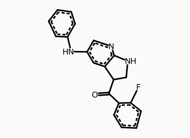 O=C(c1ccccc1F)C1CNc2ncc(Nc3ccccc3)cc21